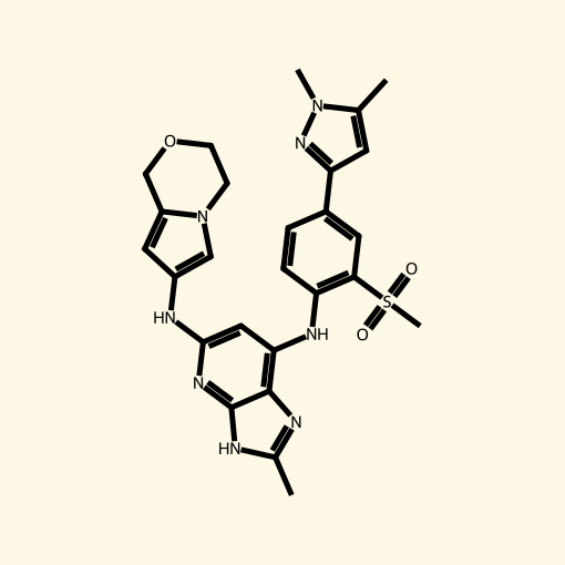 Cc1nc2c(Nc3ccc(-c4cc(C)n(C)n4)cc3S(C)(=O)=O)cc(Nc3cc4n(c3)CCOC4)nc2[nH]1